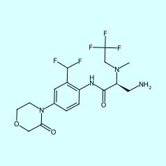 CN(CC(F)(F)F)[C@@H](CN)C(=O)Nc1ccc(N2CCOCC2=O)cc1C(F)F